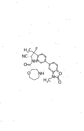 Cn1c(=O)oc2ccc(-c3ccc(C(C)(F)[C@@H](C#N)NC(=O)[C@@H]4CNCCCO4)cc3)cc21